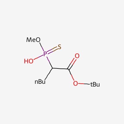 CCCCC(C(=O)OC(C)(C)C)P(O)(=S)OC